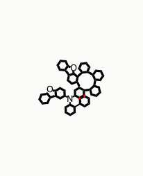 c1ccc(-c2ccccc2N(c2ccc3oc4ccccc4c3c2)c2ccc3c4ccccc4c4ccccc4c4ccccc4c4c(ccc5c6ccccc6oc54)c3c2)cc1